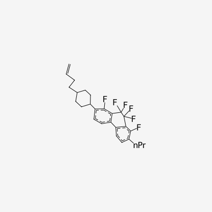 C=CCCC1CCC(c2ccc3c(c2F)C(F)(F)C(F)(F)c2c-3ccc(CCC)c2F)CC1